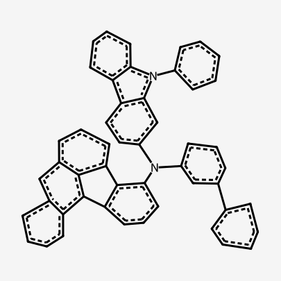 c1ccc(-c2cccc(N(c3ccc4c5ccccc5n(-c5ccccc5)c4c3)c3cccc4c3-c3cccc5cc6ccccc6c-4c35)c2)cc1